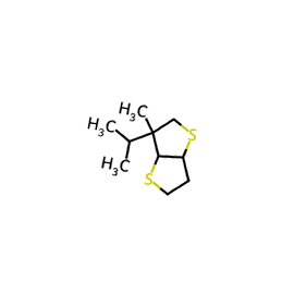 CC(C)C1(C)CSC2CCSC21